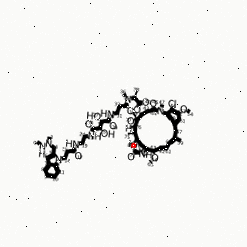 CNN(C)Cc1cc2ccccc2n1CCC(=O)NCCNC(=O)[C@H](O)[C@H](O)C(=O)NCCC(=O)N(C)[C@@H](C)C(=O)O[C@H]1CC(=O)N(C)c2cc(cc(OC)c2Cl)C/C(C)=C/C=C/[C@@H](OC)[C@@]2(O)C[C@H](OC(=O)N2)[C@@H](C)[C@@H]2O[C@]12C